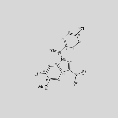 CCN(C(C)=O)c1cn(C(=O)c2ccc(Cl)cc2)c2cc(Cl)c(OC)cc12